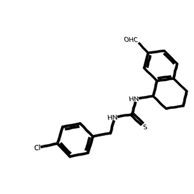 O=Cc1ccc2c(c1)C(NC(=S)NCc1ccc(Cl)cc1)CCC2